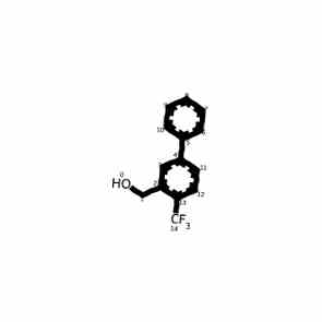 OCc1cc(-c2ccccc2)ccc1C(F)(F)F